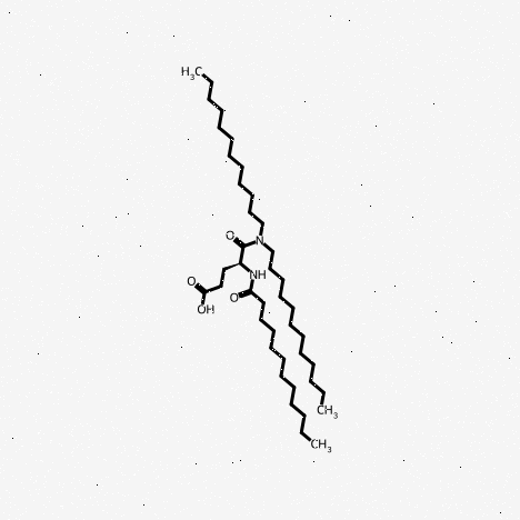 CCCCCCCCCCCCN(CCCCCCCCCCCC)C(=O)[C@H](CCC(=O)O)NC(=O)CCCCCCCCCCC